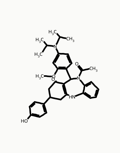 COc1cc(N(C(C)C)C(C)C)ccc1C1C2=C(CC(c3ccc(O)cc3)CC2=O)Nc2ccccc2N1C(C)=O